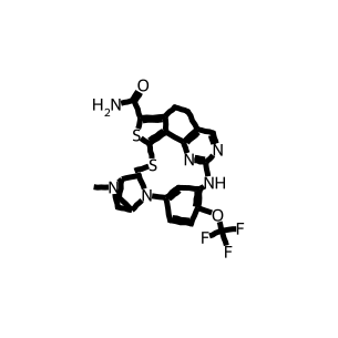 CSc1sc(C(N)=O)c2c1-c1nc(Nc3cc(N4CC5CC4CN5C)ccc3OC(F)(F)F)ncc1CC2